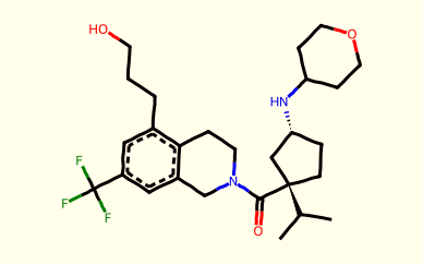 CC(C)[C@]1(C(=O)N2CCc3c(CCCO)cc(C(F)(F)F)cc3C2)CC[C@@H](NC2CCOCC2)C1